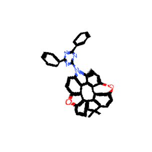 CC1(C)c2ccc3oc4ccc5c6c4c3c2c2c1ccc1oc3ccc(c6c3c12)n5-c1nc(-c2ccccc2)nc(-c2ccccc2)n1